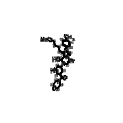 COCCCCc1c(C(O)N(CC(C)C)[C@@H]2CNC[C@H](C(=O)N3CCOCC3)C2)nnn1-c1ccc(C)cc1